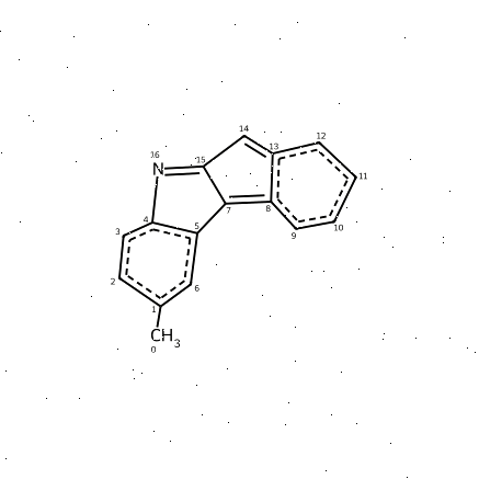 Cc1ccc2c(c1)C1=c3ccccc3=CC1=N2